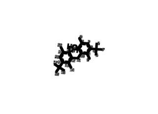 Cc1cc(C(C)(C)C)c(C)c(Cc2c(C)c(C(C)(C)C)cc(C)c2O)c1O